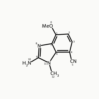 COc1ccc(C#N)c2c1nc(N)n2C